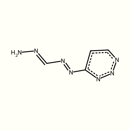 NN=CN=Nc1ccnnn1